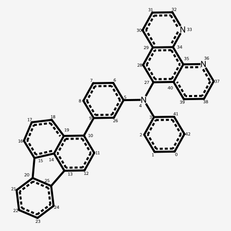 c1ccc(N(c2cccc(-c3ccc4c5c(cccc35)-c3ccccc3-4)c2)c2cc3cccnc3c3ncccc23)cc1